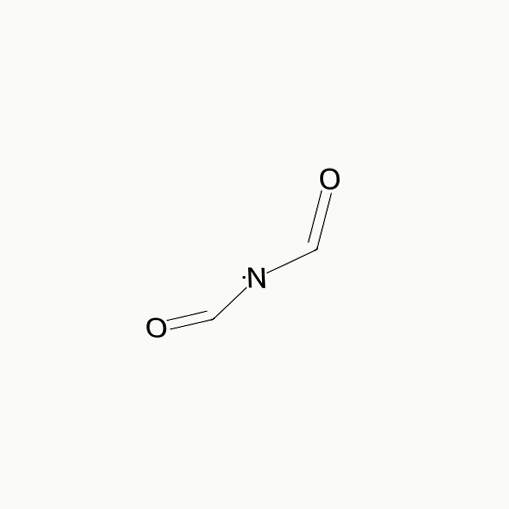 O=C[N]C=O